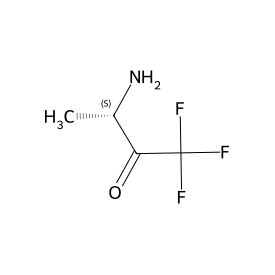 C[C@H](N)C(=O)C(F)(F)F